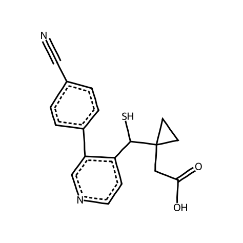 N#Cc1ccc(-c2cnccc2C(S)C2(CC(=O)O)CC2)cc1